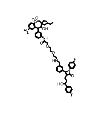 CCCCC1(CC)CS(=O)(=O)c2ccc(N(C)C)cc2C(c2cccc(NC(=O)COCCOCCNCc3cccc(C4C(CCC(O)c5ccc(F)cc5)C(=O)N4c4ccc(F)cc4)c3)c2)C1O